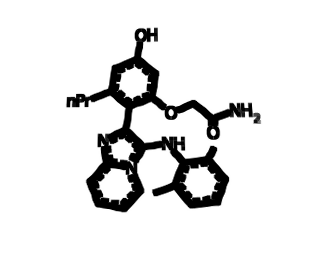 CCCc1cc(O)cc(OCC(N)=O)c1-c1nc2ccccn2c1Nc1c(C)cccc1C